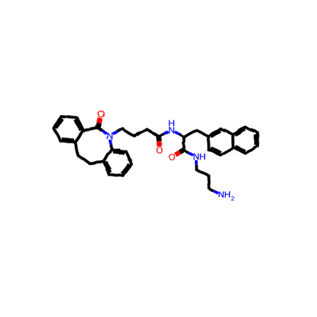 NCCCNC(=O)C(Cc1ccc2ccccc2c1)NC(=O)CCCN1C(=O)c2ccccc2CCc2ccccc21